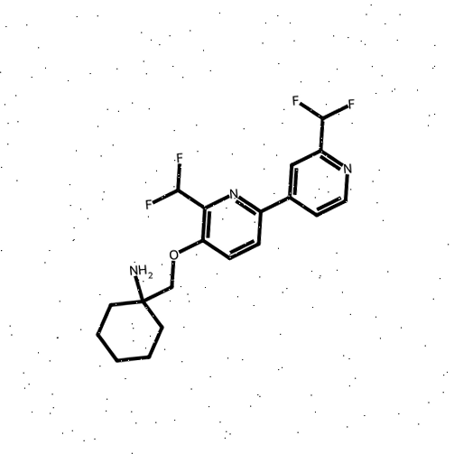 NC1(COc2ccc(-c3ccnc(C(F)F)c3)nc2C(F)F)CCCCC1